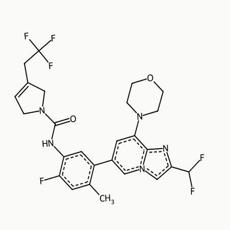 Cc1cc(F)c(NC(=O)N2CC=C(CC(F)(F)F)C2)cc1-c1cc(N2CCOCC2)c2nc(C(F)F)cn2c1